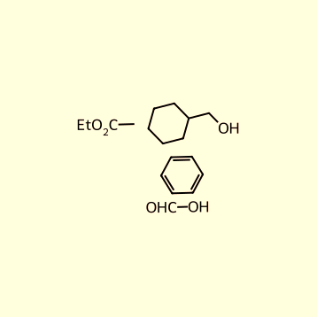 CCOC(C)=O.O=CO.OCC1CCCCC1.c1ccccc1